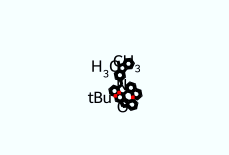 CC(C)(C)c1ccc(N(c2ccc3c(c2)-c2ccccc2C3(C)C)c2ccc3ccccc3c2-c2cccc3oc4ccccc4c23)cc1